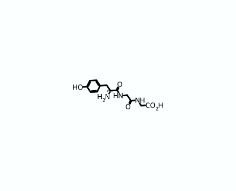 N[C@@H](Cc1ccc(O)cc1)C(=O)NCC(=O)NCC(=O)O